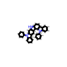 c1ccc(-n2c3ccccc3c3cc4c(cc32)[nH]c2ccc3c5ccccc5n(-c5ccccc5)c3c24)cc1